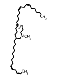 C/C=C\C/C=C\CCCCCCCCC(CCCCCCCC/C=C\C/C=C\CCCCC)CN(C)CCN